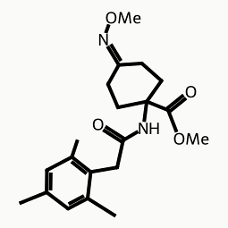 CON=C1CCC(NC(=O)Cc2c(C)cc(C)cc2C)(C(=O)OC)CC1